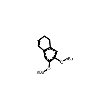 CCCCOc1cc2c(cc1OCCCC)CC[C]=C2